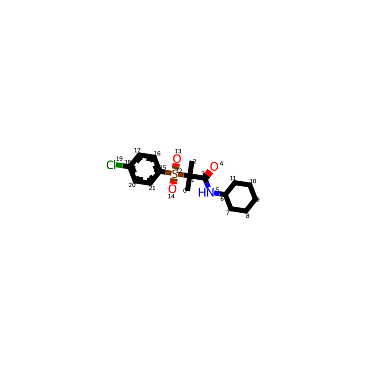 CC(C)(C(=O)NC1CCCCC1)S(=O)(=O)c1ccc(Cl)cc1